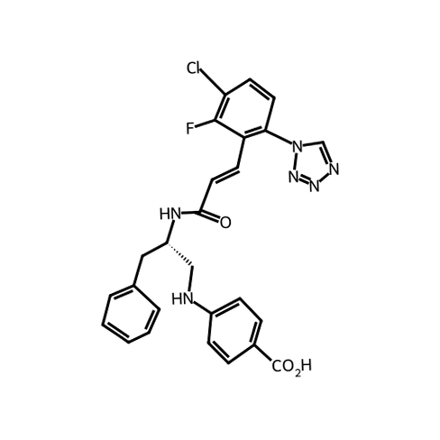 O=C(/C=C/c1c(-n2cnnn2)ccc(Cl)c1F)N[C@H](CNc1ccc(C(=O)O)cc1)Cc1ccccc1